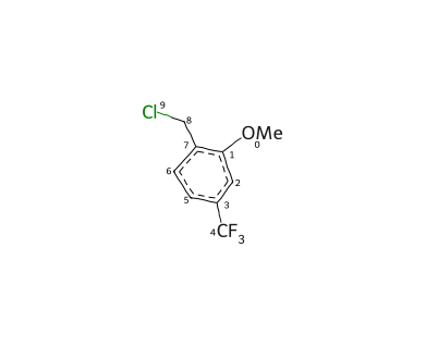 COc1cc(C(F)(F)F)ccc1CCl